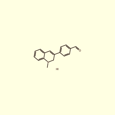 CN1CC(c2ccc(C=O)cc2)=Cc2ccccc21.I